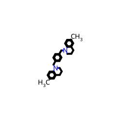 Cc1ccc2c(c1)CCCN2Cc1ccc(CN2CCCc3cc(C)ccc32)cc1